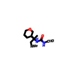 CNCC(C)(NC(=O)NC=O)C1CCCOC1